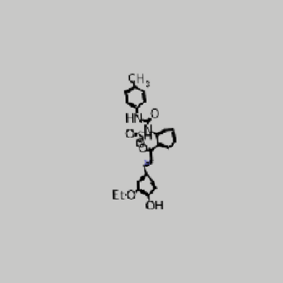 CCOc1cc(/C=C/C(=O)c2ccccc2N(C(=O)Nc2ccc(C)cc2)[SH](=O)=O)ccc1O